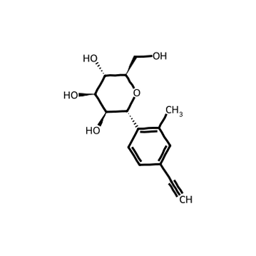 C#Cc1ccc([C@H]2O[C@H](CO)[C@@H](O)[C@H](O)[C@@H]2O)c(C)c1